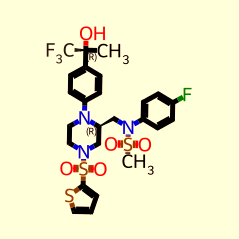 C[C@@](O)(c1ccc(N2CCN(S(=O)(=O)c3cccs3)C[C@@H]2CN(c2ccc(F)cc2)S(C)(=O)=O)cc1)C(F)(F)F